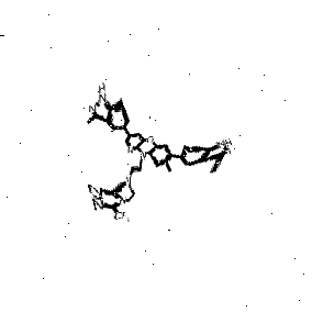 Cc1cc2c(cc1-c1ccc3[nH]nc(C)c3c1)Oc1cc(-c3ccc4[nH]nc(C)c4c3)cnc1N2CCN1CCn2c(nnc2C(F)(F)F)C1